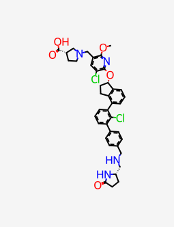 COc1nc(O[C@H]2CCc3c(-c4cccc(-c5ccc(CNC[C@@H]6CCC(=O)N6)cc5)c4Cl)cccc32)c(Cl)cc1CN1CC[C@H](C(=O)O)C1